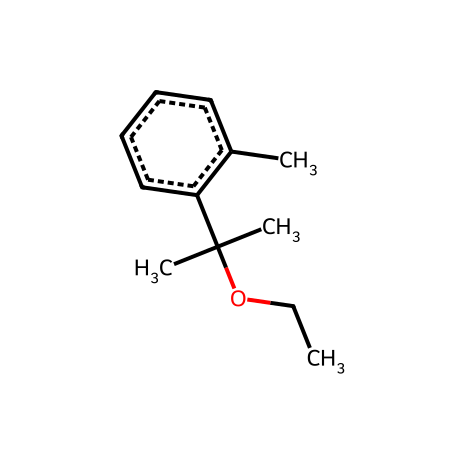 CCOC(C)(C)c1ccccc1C